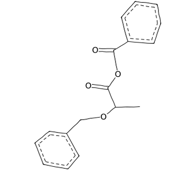 CC(OCc1ccccc1)C(=O)OC(=O)c1ccccc1